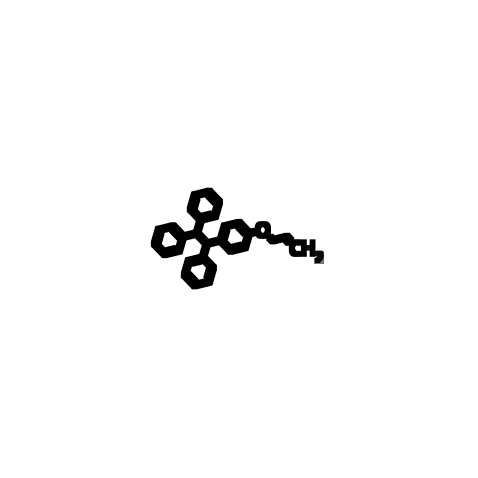 C=CCOc1ccc(C(c2ccccc2)C(c2ccccc2)c2ccccc2)cc1